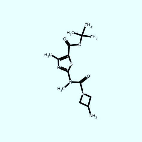 Cc1nc(N(C)C(=O)N2CC(N)C2)sc1C(=O)OC(C)(C)C